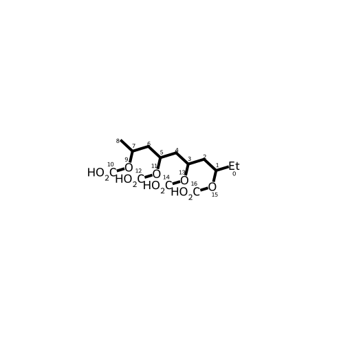 CCC(CC(CC(CC(C)OC(=O)O)OC(=O)O)OC(=O)O)OC(=O)O